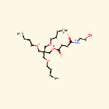 COCCCOCC(COCCCOC)(COCCCOC)COC(=O)CCC(=O)NCCO